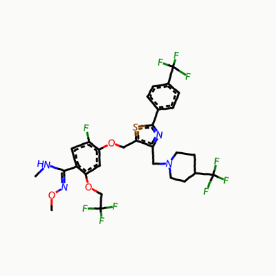 CN/C(=N\OC)c1cc(F)c(OCc2sc(-c3ccc(C(F)(F)F)cc3)nc2CN2CCC(C(F)(F)F)CC2)cc1OCC(F)(F)F